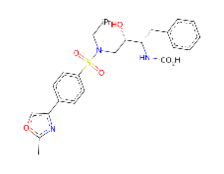 Cc1nc(-c2ccc(S(=O)(=O)N(CC(C)C)C[C@H](O)[C@H](Cc3ccccc3)NC(=O)O)cc2)co1